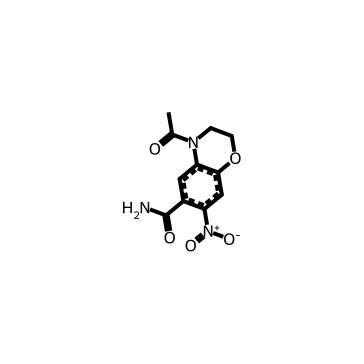 CC(=O)N1CCOc2cc([N+](=O)[O-])c(C(N)=O)cc21